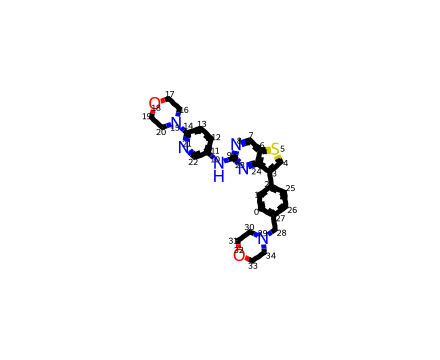 c1cc(-c2csc3cnc(Nc4ccc(N5CCOCC5)nc4)nc23)ccc1CN1CCOCC1